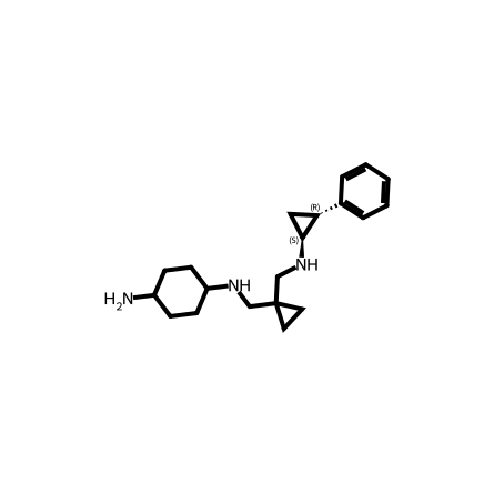 NC1CCC(NCC2(CN[C@H]3C[C@@H]3c3ccccc3)CC2)CC1